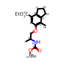 CCOC(=O)c1cc(OCC(C)NC(=O)OC(C)(C)C)c(C)c2c1CCC2